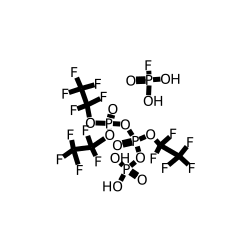 O=P(O)(O)F.O=P(O)(O)OP(=O)(OC(F)(F)C(F)(F)F)OP(=O)(OC(F)(F)C(F)(F)F)OC(F)(F)C(F)(F)F